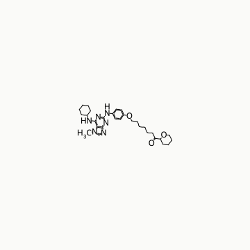 Cn1cnc2nc(Nc3ccc(OCCCCCCC(=O)C4CCCCO4)cc3)nc(NC3CCCCC3)c21